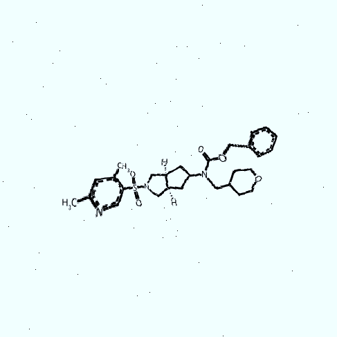 Cc1cc(C)c(S(=O)(=O)N2C[C@H]3CC(N(CC4CCOCC4)C(=O)OCc4ccccc4)C[C@H]3C2)cn1